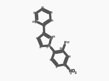 O=[N+]([O-])c1ccc(-n2ccc(-c3ccccn3)n2)c(F)c1